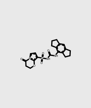 O=C(Nc1c2c(cc3c1CCC3)CCC2)NS(=O)(=O)c1ccn2c1OCCC2=O